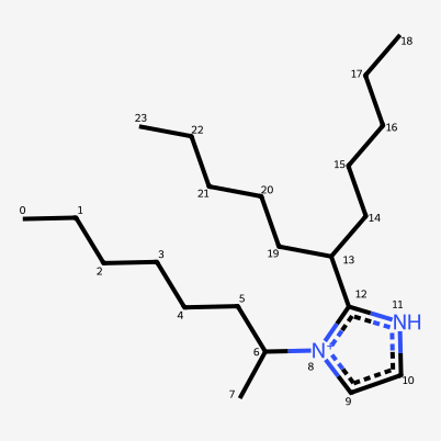 CCCCCCC(C)[n+]1cc[nH]c1C(CCCCC)CCCCC